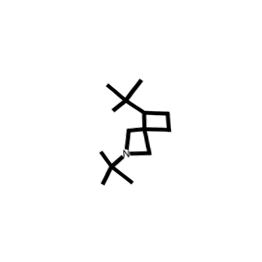 CC(C)(C)C1CCC12CN(C(C)(C)C)C2